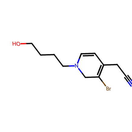 N#CCC1=C(Br)CN(CCCCO)C=C1